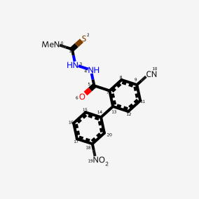 CNC(=S)NNC(=O)c1cc(C#N)ccc1-c1cccc([N+](=O)[O-])c1